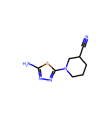 N#CC1CCCN(c2nnc(N)s2)C1